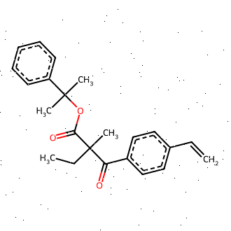 C=Cc1ccc(C(=O)C(C)(CC)C(=O)OC(C)(C)c2ccccc2)cc1